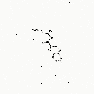 C=C(CCNC)NC(=O)c1cnc2cc(C)ccc2n1